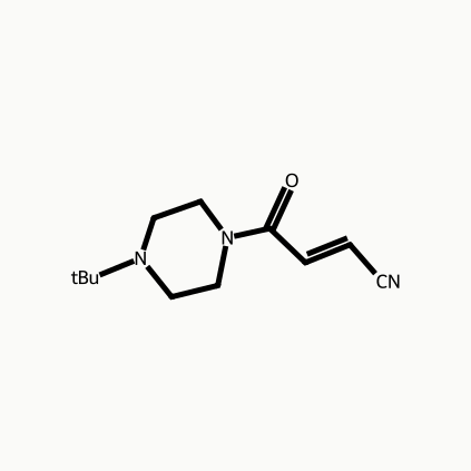 CC(C)(C)N1CCN(C(=O)/C=C/C#N)CC1